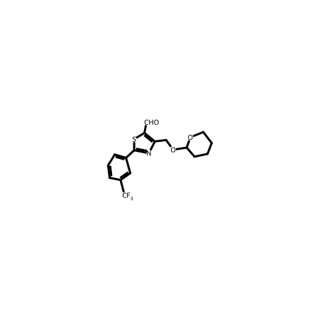 O=Cc1sc(-c2cccc(C(F)(F)F)c2)nc1COC1CCCCO1